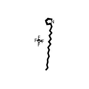 CCCCCCCCCCCCCCCCc1ccccn1.F[B-](F)(F)F